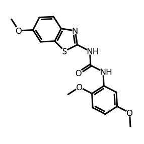 COc1ccc(OC)c(NC(=O)Nc2nc3ccc(OC)cc3s2)c1